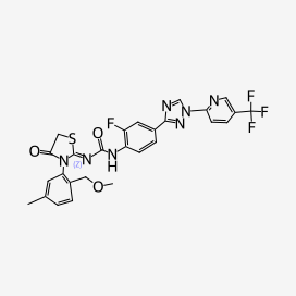 COCc1ccc(C)cc1N1C(=O)CS/C1=N\C(=O)Nc1ccc(-c2ncn(-c3ccc(C(F)(F)F)cn3)n2)cc1F